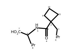 CC(C)CC1(C(=O)NC(C(=O)O)C(C)C)CCC1